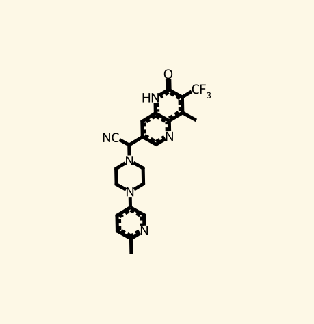 Cc1ccc(N2CCN(C(C#N)c3cnc4c(C)c(C(F)(F)F)c(=O)[nH]c4c3)CC2)cn1